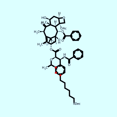 CCCCCCCCCCCCCCCCCCOC(C)O[C@@H](C(=O)O[C@H]1C[C@@]2(O)[C@@H](OC(=O)c3ccccc3)[C@@H]3[C@]4(OC(C)=O)CO[C@@H]4C[C@H](O)[C@@]3(C)C(=O)[C@H](C)C(=C1C)C2(C)C)[C@@H](NC(=O)c1ccccc1)c1ccccc1